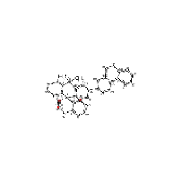 CC1(C)c2ccccc2C2(c3ccccc3Sc3ccccc32)c2ccc(-c3ccc4c(ccc5cccnc54)c3)cc21